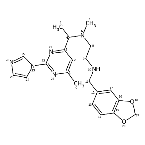 Cc1cc(C(C)N(C)CCNCc2ccc3c(c2)OCO3)nc(-n2ccnc2)n1